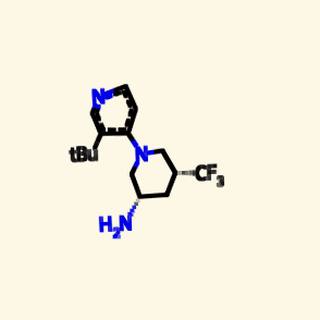 CC(C)(C)c1cnccc1N1C[C@@H](N)C[C@@H](C(F)(F)F)C1